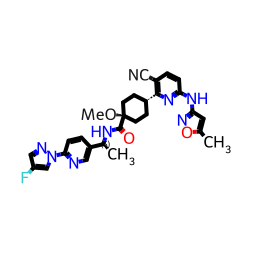 CO[C@]1(C(=O)N[C@@H](C)c2ccc(-n3cc(F)cn3)nc2)CC[C@@H](c2nc(Nc3cc(C)on3)ccc2C#N)CC1